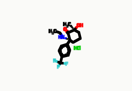 CCN[C@@]1(c2ccc(C(F)(F)F)cc2)CCC[C@](C)(O)C1=O.Cl